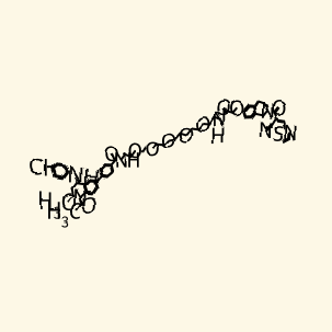 CC(=O)N1c2ccc(-c3ccc(C(=O)NCCOCCOCCOCCOCCOCCNC(=O)COc4ccc5c(c4)CCN(C(=O)/C(C#N)=C/c4nccs4)C5)cc3)cc2[C@H](Nc2ccc(Cl)cc2)C[C@@H]1C